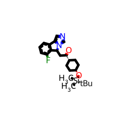 CC(C)(C)[Si](C)(C)O[C@H]1CC[C@H](C(=O)CC2c3c(F)cccc3-c3cncn32)CC1